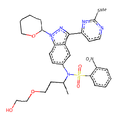 CSc1nccc(-c2nn(C3CCCCO3)c3ccc(N(C(C)CCOCCO)S(=O)(=O)c4ccccc4[N+](=O)[O-])cc23)n1